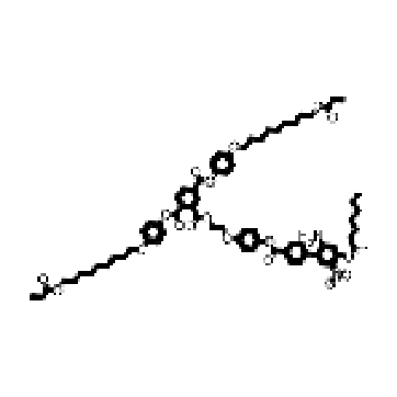 C=CC(=O)OCCCCCCCCCOc1ccc(OC(=O)c2ccc(C(=O)Oc3ccc(OCCCCCCCCCOC(=O)C=C)cc3)c(C(=O)OCCOc3ccc(OC(=O)c4ccc(-c5cc([N+](=O)[O-])c(O[C@@H](C)CCCCCC)cc5N)cc4)cc3)c2)cc1